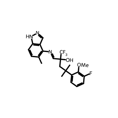 COc1c(F)cccc1C(C)(C)CC(O)(/C=N/c1c(C)ccc2[nH]ncc12)C(F)(F)F